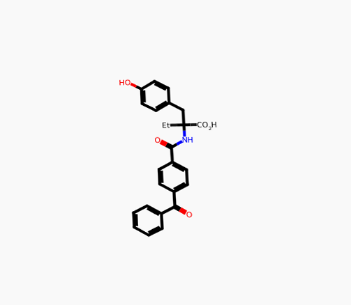 CCC(Cc1ccc(O)cc1)(NC(=O)c1ccc(C(=O)c2ccccc2)cc1)C(=O)O